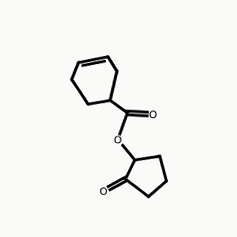 O=C(OC1CCCC1=O)C1CC=CCC1